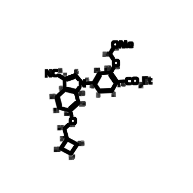 CCOC(=O)c1ccc(-n2cc(C#N)c3ccc(OCC4CCC4)cc32)cc1OCOC